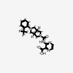 O=C(O)c1nccnc1NC(=O)N1C[C@@H]2CN(c3ccccc3C(F)(F)F)C[C@@H]2C1